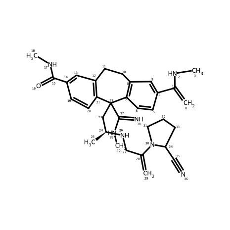 C=C(NC)c1ccc2c(c1)CCc1cc(C(=O)NC)ccc1C2(C[C@H](C)NCC(=C)N1CCCC1C#N)C(=N)NC